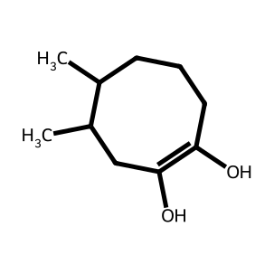 CC1CCCC(O)=C(O)CC1C